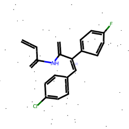 C=CC(=C)NC(=C)/C(=C\c1ccc(Cl)cc1)c1ccc(F)cc1